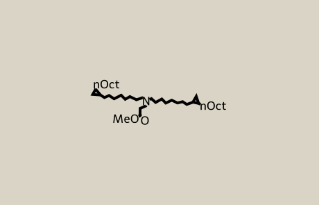 CCCCCCCCC1CC1CCCCCCCCN(CCCCCCCCC1CC1CCCCCCCC)CCC(=O)OC